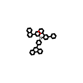 c1ccc(-c2ccc(N(c3ccc(-c4cc5ccccc5c5ccccc45)cc3)c3cccc(-c4cccc5ccccc45)c3)c(-c3ccccc3)c2)cc1